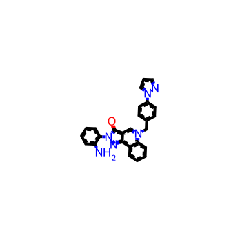 Nc1ccccc1-n1nc2c3ccccc3n(Cc3ccc(-n4cccn4)cc3)cc-2c1=O